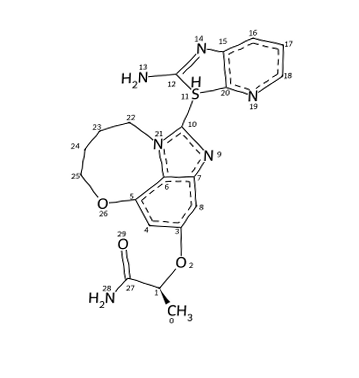 C[C@H](Oc1cc2c3c(c1)nc([SH]1C(N)=Nc4cccnc41)n3CCCCO2)C(N)=O